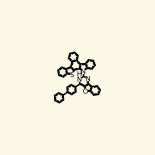 c1ccc(-c2ccc(C3=c4oc5ccccc5c4=NC(n4c5ccccc5c5c6ccccc6c6c7ccccc7sc6c54)N3)cc2)cc1